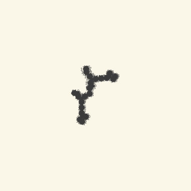 CC1(C)c2ccccc2-c2ccc(N(c3ccc(-c4ccc(-c5ccc6c(c5)c5ccccc5n6-c5cccc6ccccc56)cc4)cc3)c3ccc(-c4cccc(-c5ccc6c(c5)C(C)(C)c5cc(N(c7ccc(-c8ccc(-c9ccc%10c(c9)c9ccccc9n%10-c9cccc%10ccccc9%10)cc8)cc7)c7ccc(-c8ccc9ccccc9c8)cc7)ccc5-6)c4)cc3)cc21